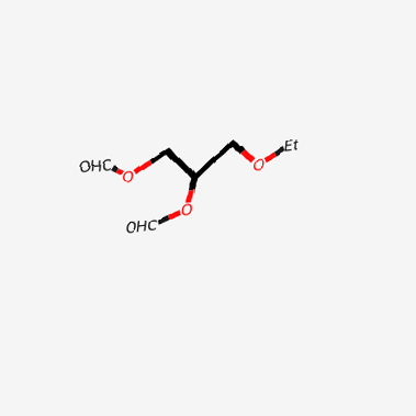 CCOCC(COC=O)OC=O